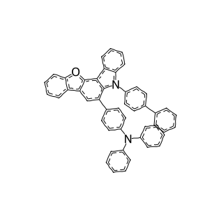 c1ccc(-c2ccc(-n3c4ccccc4c4c5oc6ccccc6c5cc(-c5ccc(N(c6ccccc6)c6ccccc6)cc5)c43)cc2)cc1